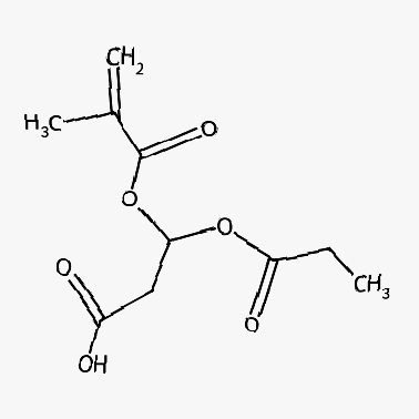 C=C(C)C(=O)OC(CC(=O)O)OC(=O)CC